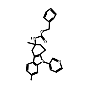 Cc1ccc2c3c(n(-c4cccnc4)c2c1)CCC(C)(NC(=O)OCc1ccccc1)C3